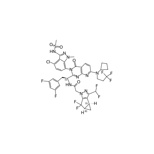 Cn1nc(NS(C)(=O)=O)c2c(Cl)ccc(-n3c([C@H](Cc4cc(F)cc(F)c4)NC(=O)Cn4nc(C(F)F)c5c4C(F)(F)[C@@H]4C[C@H]54)nc4nc(N(CCC(F)(F)F)C5CCC5)ccc4c3=O)c21